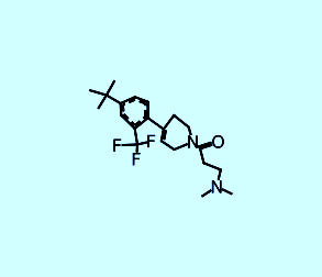 CN(C)CCC(=O)N1CC=C(c2ccc(C(C)(C)C)cc2C(F)(F)F)CC1